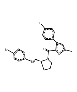 Cn1cc(-c2ccc(F)cc2)c(C(=O)N2CCC[C@H]2CNc2ncc(Br)cn2)n1